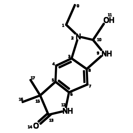 CCN1c2cc3c(cc2NC1O)NC(=O)C3(C)C